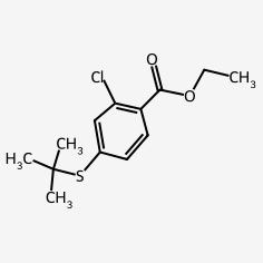 CCOC(=O)c1ccc(SC(C)(C)C)cc1Cl